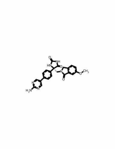 COc1ccc2c(c1)C(=O)N(C[C@]1(c3ccc(-c4cnc(N)nc4)cc3)NC(=O)NC1=O)C2